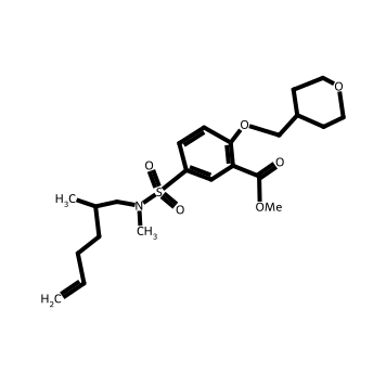 C=CCCC(C)CN(C)S(=O)(=O)c1ccc(OCC2CCOCC2)c(C(=O)OC)c1